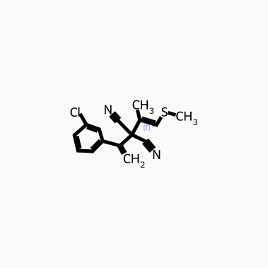 C=C(c1cccc(Cl)c1)C(C#N)(C#N)/C(C)=C/SC